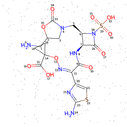 NCC1CN(C[C@@H]2[C@H](NC(=O)C(=NOC3(C(=O)O)CC3)c3csc(N)n3)C(=O)N2S(=O)(=O)O)C(=O)O1